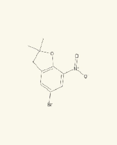 CC1(C)Cc2cc(Br)cc([N+](=O)[O-])c2O1